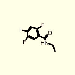 CCNC(=O)c1cc(F)c(F)cc1F